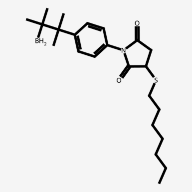 BC(C)(C)C(C)(C)c1ccc(N2C(=O)CC(SCCCCCCC)C2=O)cc1